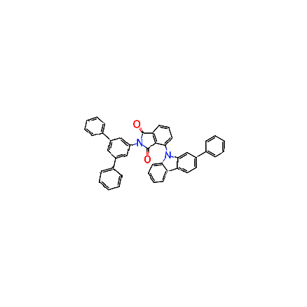 O=C1c2cccc(-n3c4ccccc4c4ccc(-c5ccccc5)cc43)c2C(=O)N1c1cc(-c2ccccc2)cc(-c2ccccc2)c1